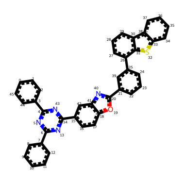 c1ccc(-c2nc(-c3ccccc3)nc(-c3ccc4oc(-c5cccc(-c6cccc7c6sc6ccccc67)c5)nc4c3)n2)cc1